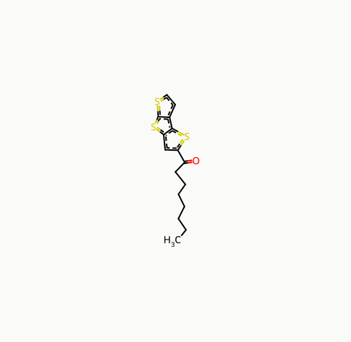 CCCCCCCC(=O)c1cc2sc3sccc3c2s1